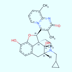 Cc1c([C@@H]2Oc3c(O)ccc4c3[C@@]23CCN(CC2CC2)[C@H](C4)[C@@]3(C)O)n2cccc(C)c2nc1=O